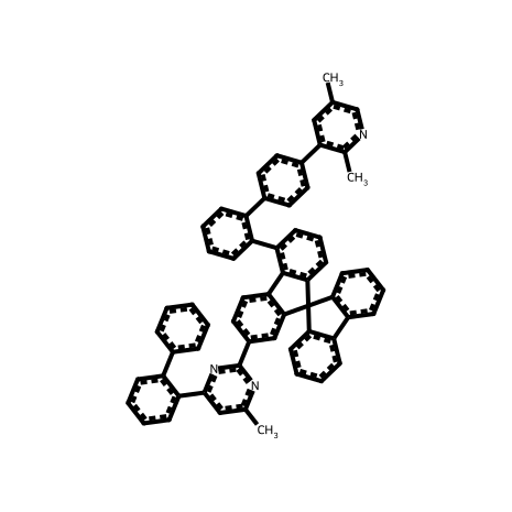 Cc1cnc(C)c(-c2ccc(-c3ccccc3-c3cccc4c3-c3ccc(-c5nc(C)cc(-c6ccccc6-c6ccccc6)n5)cc3C43c4ccccc4-c4ccccc43)cc2)c1